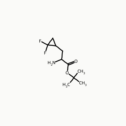 CC(C)(C)OC(=O)C(N)CC1CC1(F)F